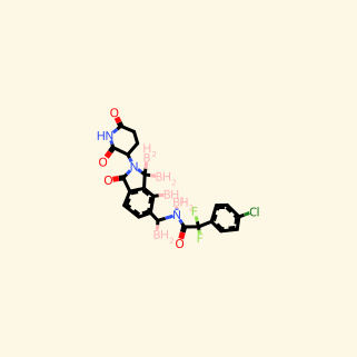 Bc1c(C(B)N(B)C(=O)C(F)(F)c2ccc(Cl)cc2)ccc2c1C(B)(B)N(C1CCC(=O)NC1=O)C2=O